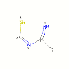 CC(=N)/N=C\S